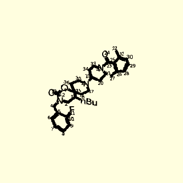 CCCCC1CN(Cc2ccccc2F)C(=O)OC12CCN(C1CCN(C(=O)c3c(C)cccc3C)CC1)CC2